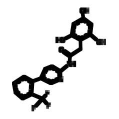 O=C(Cc1c(O)cc(O)cc1O)Nc1ccc(-c2ccccc2C(F)(F)F)cn1